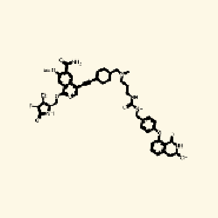 CC[C@@H]1[C@H](F)C(=O)N[C@@H]1COc1ncc(C#CC2CCC(CN(C)CCCNC(=O)NCc3ccc(Oc4cccc5c4C(=O)NC(O)C5)cc3)CC2)c2cc(C(N)=O)c(OC)cc12